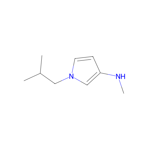 CNc1ccn(CC(C)C)c1